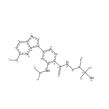 COc1ccc2ncc(-c3cc(NC(C)C)c(C(=O)NCC(F)C(C)(C)O)cn3)n2n1